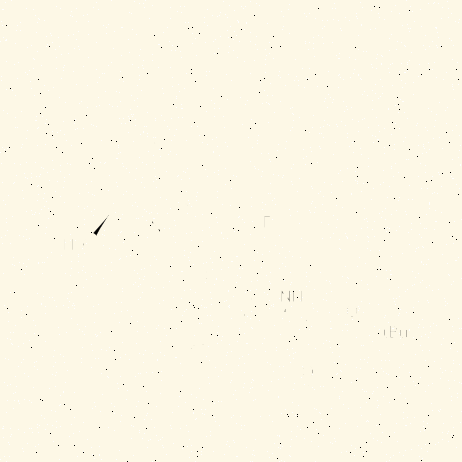 C[C@@H](c1ccccc1)N1CC(F)C(C2(NC(=O)OC(C)(C)C)CC2)C1